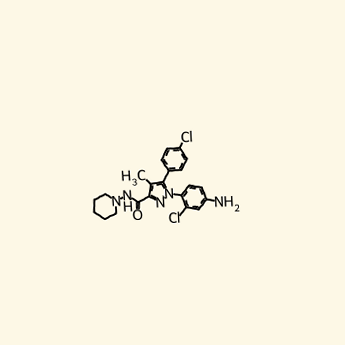 Cc1c(C(=O)NN2CCCCC2)nn(-c2ccc(N)cc2Cl)c1-c1ccc(Cl)cc1